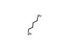 [CH2]C(C)CCCC[C](C)C